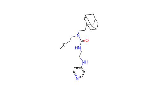 CCCCCN(CCC12CC3CC(CC(C3)C1)C2)C(=O)NCCNc1ccncc1